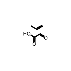 C=CC.O=CC(=O)O